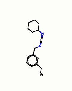 CC(C)Cc1cccc(CN=C=NC2CCCCC2)c1